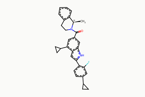 C[C@@H]1c2ccccc2CCN1C(=O)c1cc(C2CC2)c2cc(-c3ccc(C4CC4)cc3F)[nH]c2c1